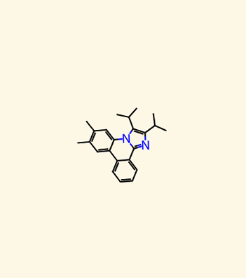 Cc1cc2c3ccccc3c3nc(C(C)C)c(C(C)C)n3c2cc1C